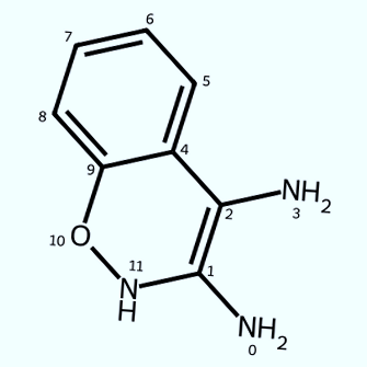 NC1=C(N)c2ccccc2ON1